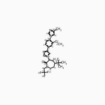 COc1cc(-c2cn(C3CC(C(C)(C)C)CCN(CC(F)(F)F)C3=O)nn2)ccc1-n1cnc(C)c1